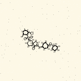 Cc1cccc(Cl)c1S(=O)(=O)N1CCCC2(CCN(Cc3ccc(Oc4ccccc4)cc3)C2=O)C1